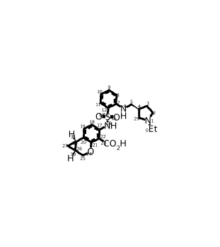 CCN1CC[C@H](CNc2ccccc2S(=O)(=O)Nc2ccc3c(c2C(=O)O)OC[C@@H]2C[C@H]32)C1